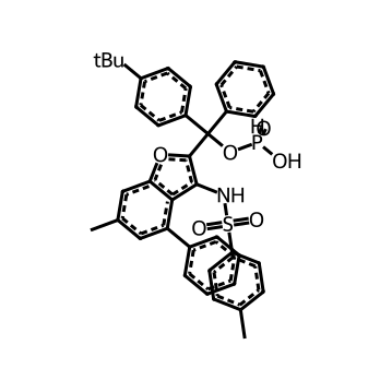 Cc1ccc(S(=O)(=O)Nc2c(C(O[PH](=O)O)(c3ccccc3)c3ccc(C(C)(C)C)cc3)oc3cc(C)cc(-c4ccccc4)c23)cc1